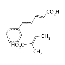 CC=C(C)C(=O)O.O=C(O)C=CC=Cc1ccccc1